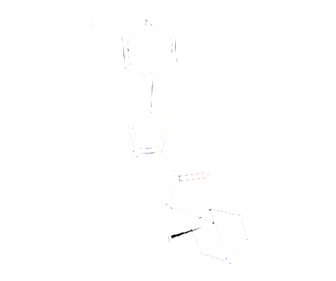 O=C(N[C@H]1CN2CCC1CC2)c1ncc(-c2ccnc(F)c2)s1